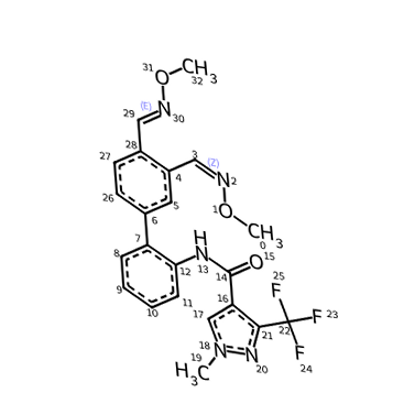 CO/N=C\c1cc(-c2ccccc2NC(=O)c2cn(C)nc2C(F)(F)F)ccc1/C=N/OC